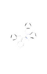 c1ccc(CC(c2nc3ccccc3n2Cc2ccccc2)C2CCNCC2)cc1